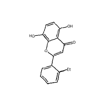 CCc1ccccc1-c1cc(=O)c2c(O)ccc(O)c2o1